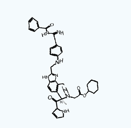 Cc1c([C@@](C)(NCC(=O)OC2CCCCC2)C(=O)C2C=CCN2)ccc2[nH]c(CNc3ccc(C(=N)NC(=O)c4ccccc4)cc3)nc12